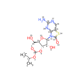 CC(C)OC(=O)O[C@H]1[C@@H](O)[C@H](n2c(=O)sc3cnc(N)nc32)O[C@@H]1CO